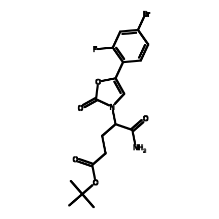 CC(C)(C)OC(=O)CCC(C(N)=O)n1cc(-c2ccc(Br)cc2F)oc1=O